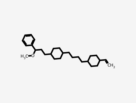 C=CC1CCC(CCCCC2CCC(CCC(OC)c3ccccc3)CC2)CC1